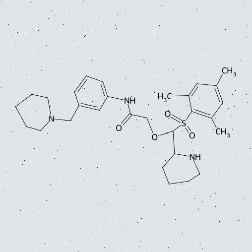 Cc1cc(C)c(S(=O)(=O)C(OCC(=O)Nc2cccc(CN3CCCCC3)c2)C2CCCCN2)c(C)c1